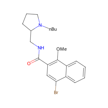 CCCCN1CCCC1CNC(=O)c1cc(Br)c2ccccc2c1OC